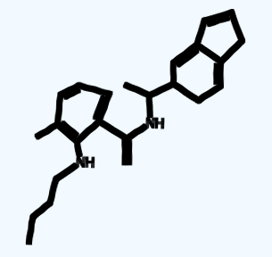 C=C(NC(C)C1C=C2C=CCC2=CC1)c1cccc(C)c1NCCCC